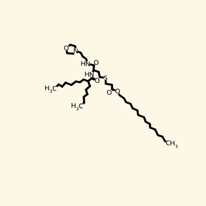 CCCCCCCCCCCCCCCCOC(=O)CCSCCC(NC(=O)C(CCCCCC)CCCCCCCC)C(=O)NCCCN1CCOCC1